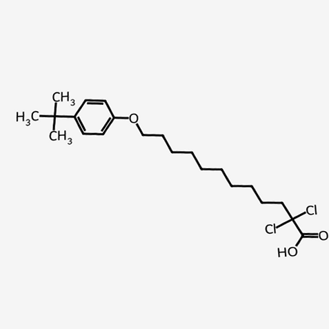 CC(C)(C)c1ccc(OCCCCCCCCCCC(Cl)(Cl)C(=O)O)cc1